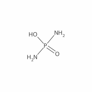 NP(N)(=O)O